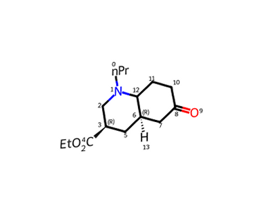 CCCN1C[C@H](C(=O)OCC)C[C@@H]2CC(=O)CCC21